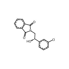 O=C1c2ccccc2C(=O)N1C[C@H](O)c1cccc(Cl)c1